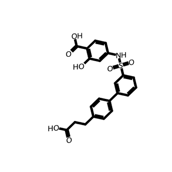 O=C(O)CCc1ccc(-c2cccc(S(=O)(=O)Nc3ccc(C(=O)O)c(O)c3)c2)cc1